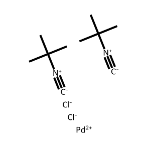 [C-]#[N+]C(C)(C)C.[C-]#[N+]C(C)(C)C.[Cl-].[Cl-].[Pd+2]